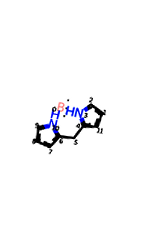 [B].c1c[nH]c(Cc2ccc[nH]2)c1